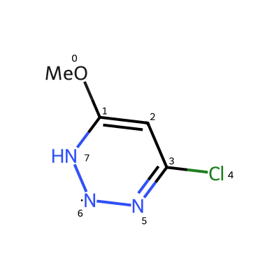 COC1=CC(Cl)=N[N]N1